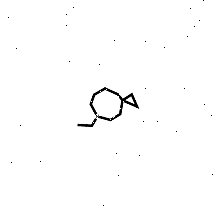 CCN1CCCCC2(CC1)CC2